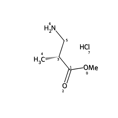 COC(=O)[C@H](C)CN.Cl